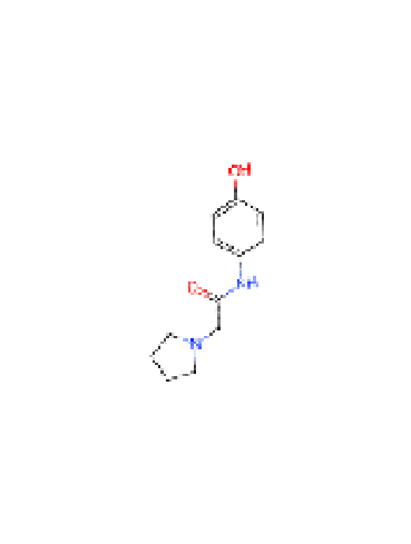 O=C(CN1CCCC1)Nc1ccc(O)cc1